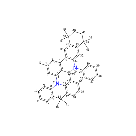 Cc1cc2c3c(c1)N1c4ccccc4C(C)(C)c4cccc(c41)B3N(c1ccccc1)c1cc3c(cc1-2)C(C)(C)CCC3(C)C